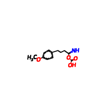 COc1ccc(CCCC(=N)OC(=O)O)cc1